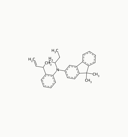 C=CC(C)c1ccccc1N(c1ccc2c(c1)-c1ccccc1C2(C)C)C(C)CC